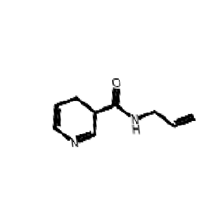 C=CCNC(=O)C1C=NC=CC1